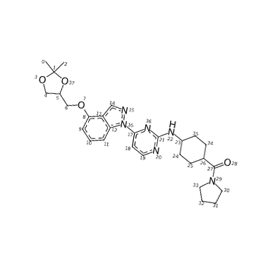 CC1(C)OCC(COc2cccc3c2cnn3-c2ccnc(NC3CCC(C(=O)N4CCCC4)CC3)n2)O1